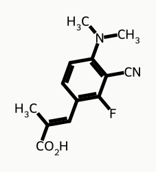 C/C(=C\c1ccc(N(C)C)c(C#N)c1F)C(=O)O